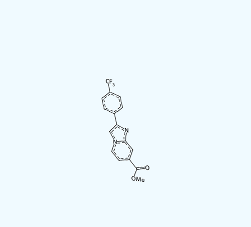 COC(=O)c1ccn2cc(-c3ccc(C(F)(F)F)cc3)nc2c1